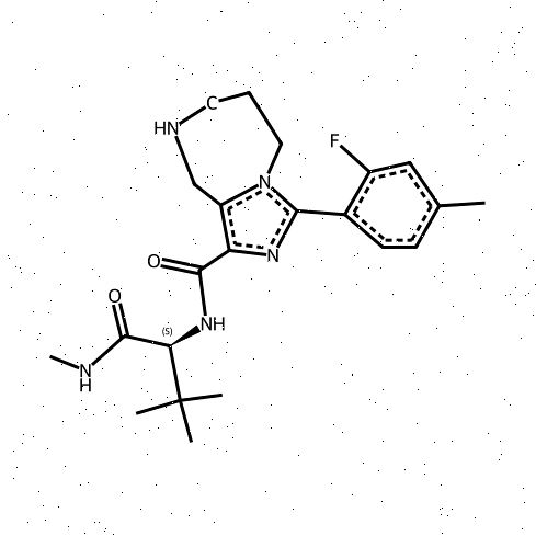 CNC(=O)[C@@H](NC(=O)c1nc(-c2ccc(C)cc2F)n2c1CNCCC2)C(C)(C)C